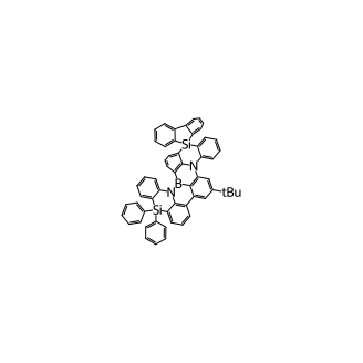 CC(C)(C)c1cc2c3c(c1)N1c4ccccc4[Si]4(c5ccccc5-c5ccccc54)c4cccc(c41)B3N1c3ccccc3[Si](c3ccccc3)(c3ccccc3)c3cccc-2c31